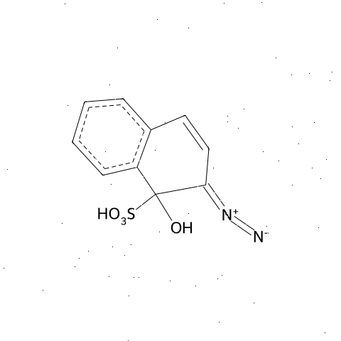 [N-]=[N+]=C1C=Cc2ccccc2C1(O)S(=O)(=O)O